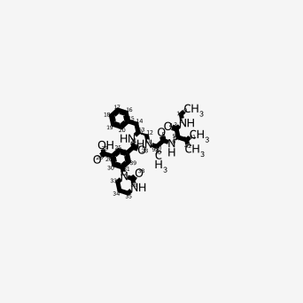 CCNC(=O)[C@@H](NC(=O)[C@H](C)NC[C@H](Cc1ccccc1)NC(=O)c1cc(C(=O)O)cc(N2CCCNC2=O)c1)C(C)C